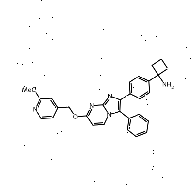 COc1cc(COc2ccn3c(-c4ccccc4)c(-c4ccc(C5(N)CCC5)cc4)nc3n2)ccn1